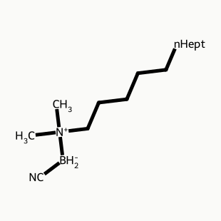 CCCCCCCCCCCC[N+](C)(C)[BH2-]C#N